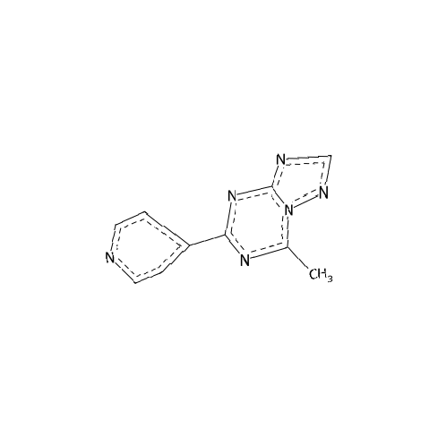 Cc1nc(-c2ccncc2)nc2ncnn12